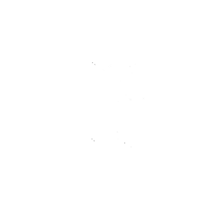 CC(C)(C)c1cc(Oc2ccc(N)cc2C(F)(F)F)ccc1Oc1ccc(N)cc1C(F)(F)F